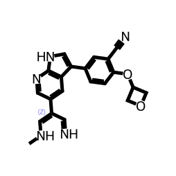 CN/C=C(\C=N)c1cnc2[nH]cc(-c3ccc(OC4COC4)c(C#N)c3)c2c1